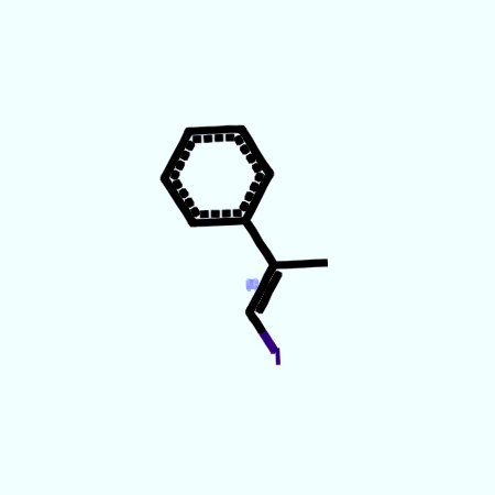 C/C(=C\I)c1ccccc1